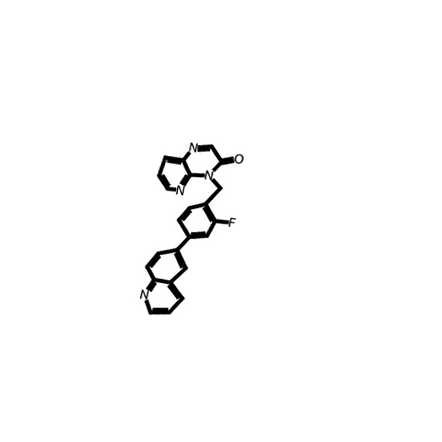 O=c1cnc2cccnc2n1Cc1ccc(-c2ccc3ncccc3c2)cc1F